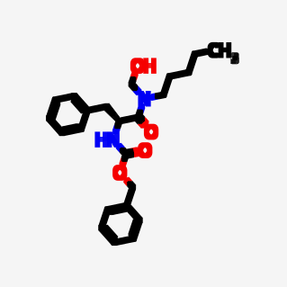 CCCCCN(CO)C(=O)[C@H](Cc1ccccc1)NC(=O)OCc1ccccc1